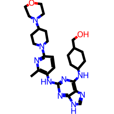 Cc1nc(N2CCC(N3CCOCC3)CC2)ccc1Nc1nc(NC2CCC(CO)CC2)c2nc[nH]c2n1